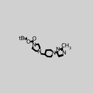 Cc1nccc(N2CCC(CN3CCN(C(=O)OC(C)(C)C)CC3)CC2)n1